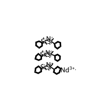 C[Si](C)([N-][Si](C)(C)c1ccccc1)c1ccccc1.C[Si](C)([N-][Si](C)(C)c1ccccc1)c1ccccc1.C[Si](C)([N-][Si](C)(C)c1ccccc1)c1ccccc1.[Nd+3]